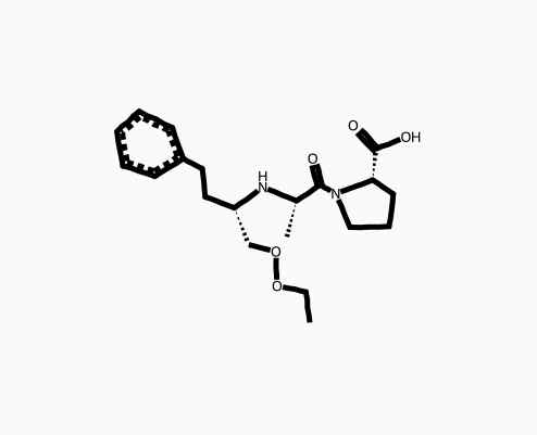 CCOOC[C@H](CCc1ccccc1)N[C@@H](C)C(=O)N1CCC[C@H]1C(=O)O